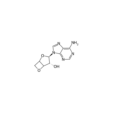 Nc1ncnc2c1ncn2[C@@H]1OC2COC2[C@H]1O